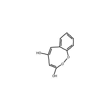 Oc1cc(O)ooc2ccccc2c1